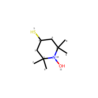 CC1(C)CC(S)CC(C)(C)N1O